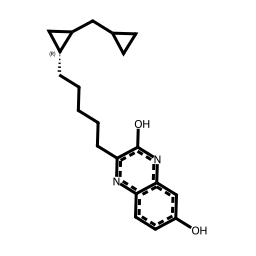 Oc1ccc2nc(CCCCC[C@@H]3CC3CC3CC3)c(O)nc2c1